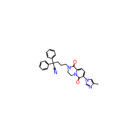 Cc1cn(-c2ccc3n(c2=O)CCN(CCCC(C#N)(c2ccccc2)c2ccccc2)C3=O)cn1